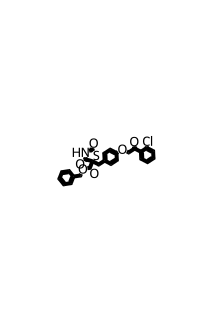 O=C1NC(=O)C(Cc2ccc(OCC(=O)c3ccccc3Cl)cc2)(C(=O)OCc2ccccc2)S1